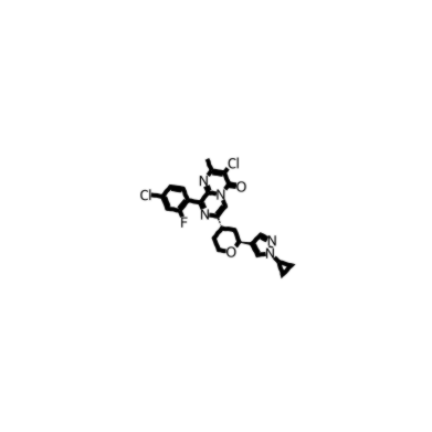 Cc1nc2c(-c3ccc(Cl)cc3F)nc([C@H]3CCO[C@H](c4cnn(C5CC5)c4)C3)cn2c(=O)c1Cl